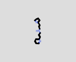 C(=Cc1ccccn1)CNCC=Cc1ccccn1